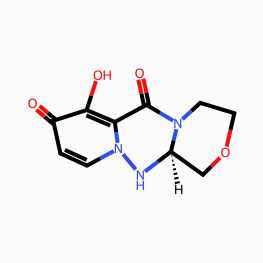 O=C1c2c(O)c(=O)ccn2N[C@@H]2COCCN12